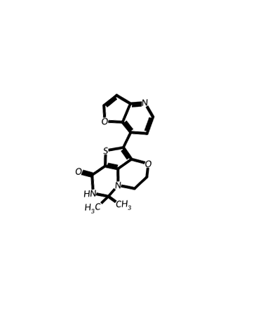 CC1(C)NC(=O)c2sc(-c3ccnc4ccoc34)c3c2N1CCO3